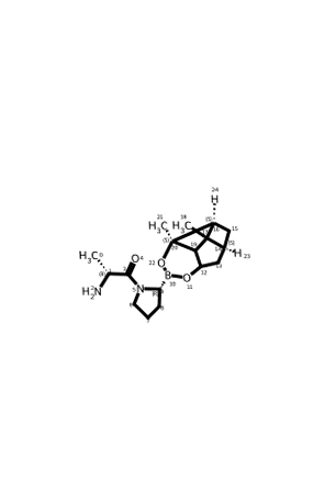 C[C@@H](N)C(=O)N1CCC[C@H]1B1OC2C[C@@H]3C[C@H]4C3(C)C2[C@@]4(C)O1